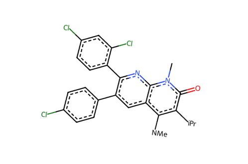 CNc1c(C(C)C)c(=O)n(C)c2nc(-c3ccc(Cl)cc3Cl)c(-c3ccc(Cl)cc3)cc12